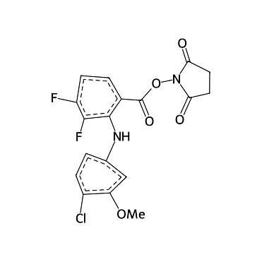 COc1cc(Nc2c(C(=O)ON3C(=O)CCC3=O)ccc(F)c2F)ccc1Cl